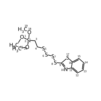 CO[Si](CCSSSSc1nc2ccccc2s1)(OC)OC